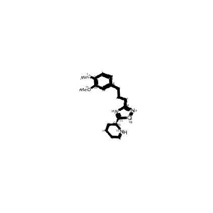 COc1ccc(CCCc2noc([C@@H]3CCCCN3)n2)cc1OC